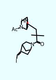 CC(=O)N1CC2CC(CC(C)(C)C(=O)N3CC4CC3C/C4=C\I)C1CN2